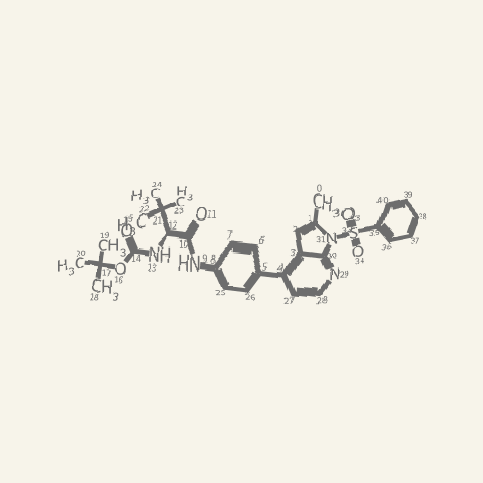 Cc1cc2c(-c3ccc(NC(=O)[C@@H](NC(=O)OC(C)(C)C)C(C)(C)C)cc3)ccnc2n1S(=O)(=O)c1ccccc1